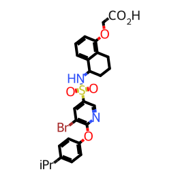 CC(C)c1ccc(Oc2ncc(S(=O)(=O)NC3CCCc4c(OCC(=O)O)cccc43)cc2Br)cc1